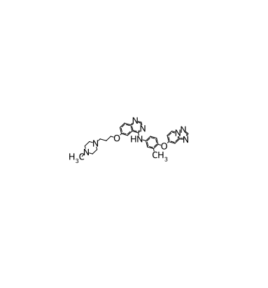 Cc1cc(Nc2ncnc3ccc(OCCCN4CCN(C)CC4)cc23)ccc1Oc1ccn2ncnc2c1